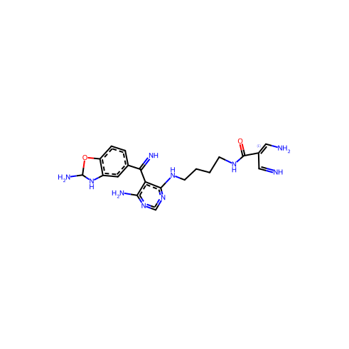 N=C/C(=C\N)C(=O)NCCCCNc1ncnc(N)c1C(=N)c1ccc2c(c1)NC(N)O2